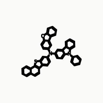 c1ccc(-n2c3ccccc3c3cc(N(c4ccc5c(c4)sc4c6ccccc6ccc54)c4ccc5oc6ccccc6c5c4)ccc32)cc1